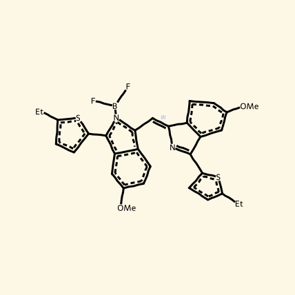 CCc1ccc(C2=N/C(=C\c3c4ccc(OC)cc4c(-c4ccc(CC)s4)n3B(F)F)c3ccc(OC)cc32)s1